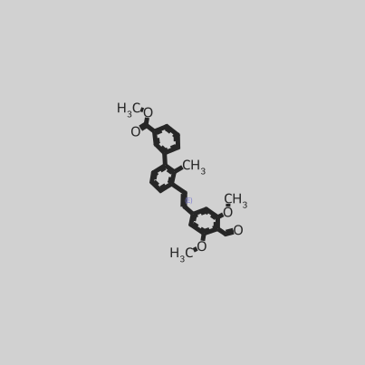 COC(=O)c1cccc(-c2cccc(/C=C/c3cc(OC)c(C=O)c(OC)c3)c2C)c1